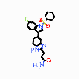 NC(=O)CCc1nc2cc(-c3cn(S(=O)(=O)c4ccccc4)c4cc(F)ccc34)ccc2[nH]1